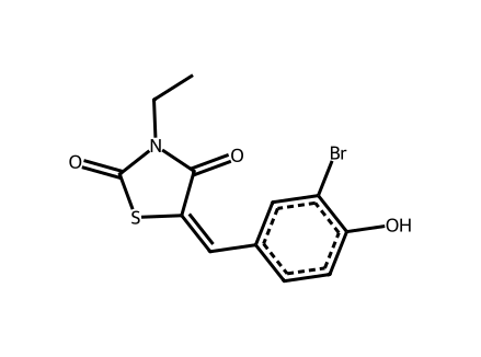 CCN1C(=O)SC(=Cc2ccc(O)c(Br)c2)C1=O